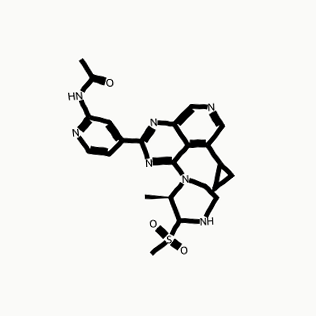 CC(=O)Nc1cc(-c2nc(N3CCNC(S(C)(=O)=O)[C@H]3C)c3c(C4CC4)cncc3n2)ccn1